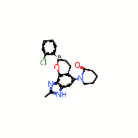 Cc1nc2c3c(c(N4CCCCC4=O)cc2[nH]1)CC[C@@H](c1ccccc1Cl)O3